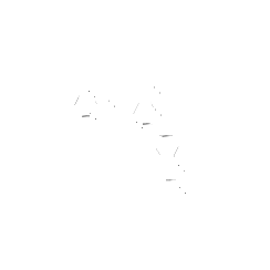 CCNC(=O)Nc1ccc(-c2nc3c(c(N4CCOCC4C)n2)CCN(c2ncccn2)C3)cc1